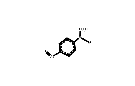 CCN(C(=O)O)c1ccc([As]=O)cc1